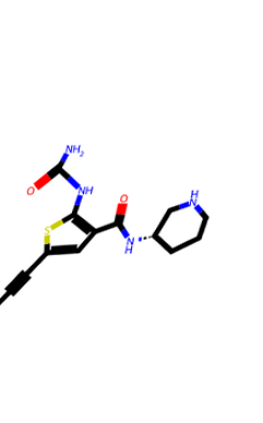 CC#Cc1cc(C(=O)N[C@H]2CCCNC2)c(NC(N)=O)s1